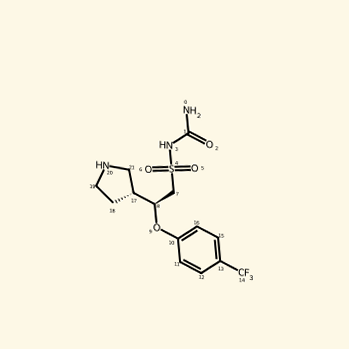 NC(=O)NS(=O)(=O)C[C@@H](Oc1ccc(C(F)(F)F)cc1)[C@@H]1CCNC1